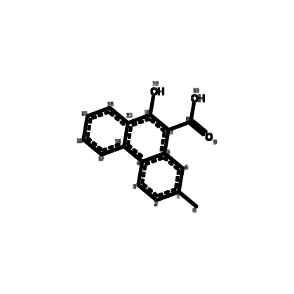 Cc1ccc2c(c1)c(C(=O)O)c(O)c1ccccc12